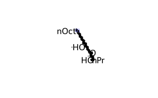 CCCCCCCC/C=C\CCCCCCCCCCCCCC(=O)[CH]CC(O)CCC.[OH]